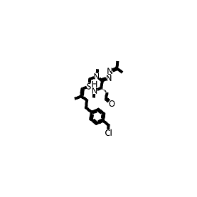 CN[C@@H](CC=O)/C(=N/N=C(C)C)N(C)CS/C=C(/C)CCc1ccc(CCl)cc1